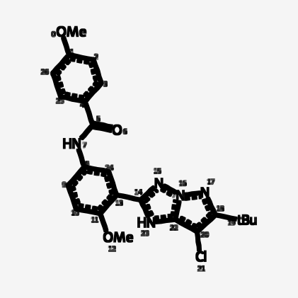 COc1ccc(C(=O)Nc2ccc(OC)c(-c3nn4nc(C(C)(C)C)c(Cl)c4[nH]3)c2)cc1